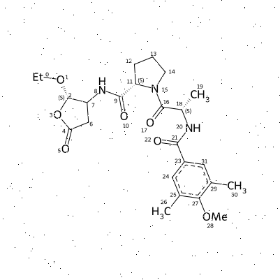 CCO[C@H]1OC(=O)CC1NC(=O)[C@@H]1CCCN1C(=O)[C@H](C)NC(=O)c1cc(C)c(OC)c(C)c1